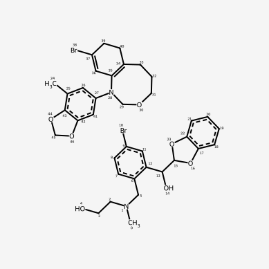 CN(CCO)Cc1ccc(Br)cc1C(O)C1Oc2ccccc2O1.Cc1cc(N2COCCCC3=C2C=C(Br)CC3)cc2c1OCO2